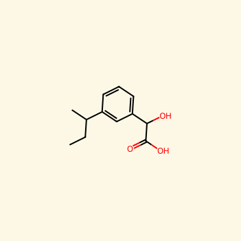 CCC(C)c1cccc(C(O)C(=O)O)c1